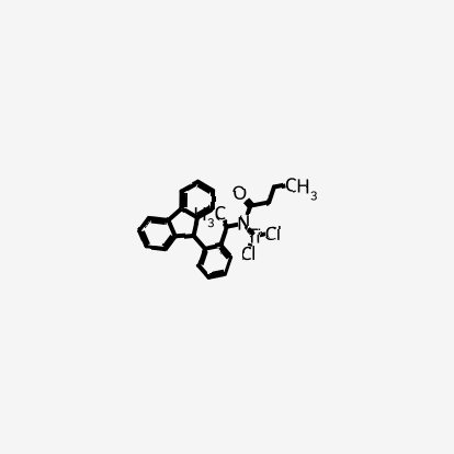 CCCC(=O)[N](C(C)c1ccccc1C1c2ccccc2-c2ccccc21)[Ti]([Cl])[Cl]